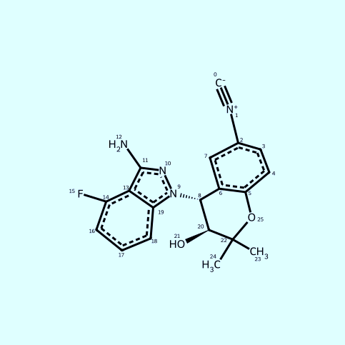 [C-]#[N+]c1ccc2c(c1)[C@@H](n1nc(N)c3c(F)cccc31)[C@H](O)C(C)(C)O2